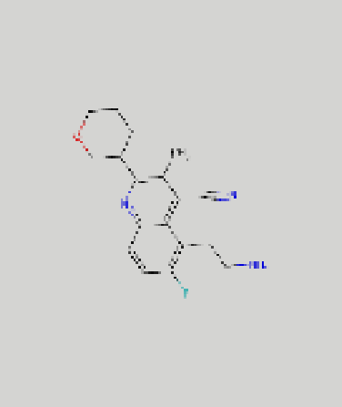 Cc1c(C2CCCOC2)nc2ccc(F)c(CCN)c2c1C#N